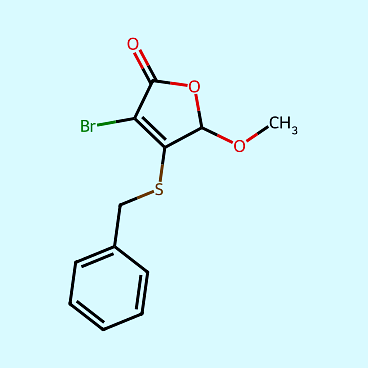 COC1OC(=O)C(Br)=C1SCc1ccccc1